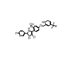 COc1cc(OCC2=CC(C(F)(F)F)=CCN2)ccc1C1=C(Cl)NC(c2ccc(F)nc2)N1